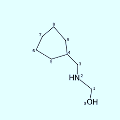 OCNCC1CCCCC1